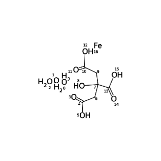 O.O.O.O=C(O)CC(O)(CC(=O)O)C(=O)O.[Fe]